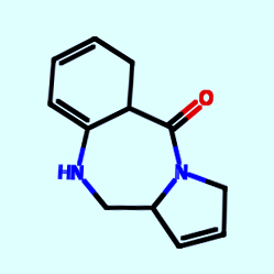 O=C1C2CC=CC=C2NCC2C=CCN12